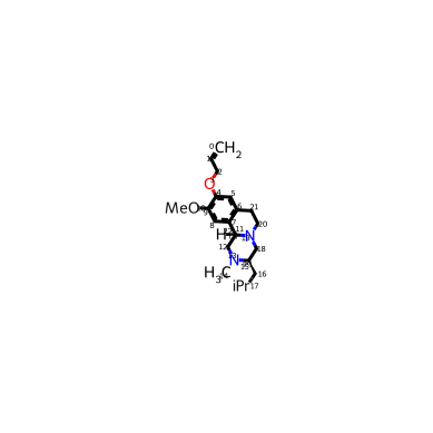 C=CCOc1cc2c(cc1OC)[C@H]1CN(C)[C@H](CC(C)C)CN1CC2